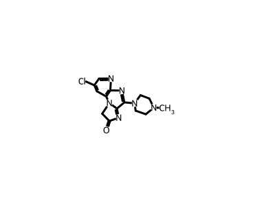 CN1CCN(C2=Nc3ncc(Cl)cc3N3CC(=O)N=C23)CC1